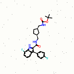 CC(C)(C)OC(=O)NC[C@@H]1CC[C@H](CNC(=O)c2[nH]c3c(F)cccc3c2-c2ccc(F)cc2)C1